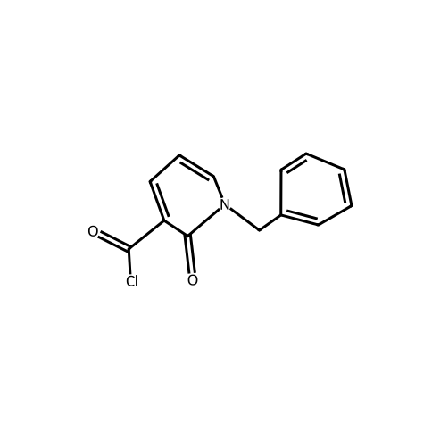 O=C(Cl)c1cccn(Cc2ccccc2)c1=O